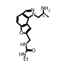 CCNC(=O)NCc1cc2c(ccc3cnn(C[C@H](C)N)c32)o1